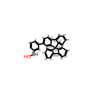 OBc1cccc(-c2ccc3c(c2)C2(c4ccccc4-c4ccccc42)c2ccccc2-3)c1